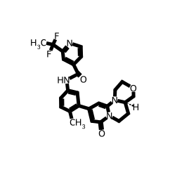 Cc1ccc(NC(=O)c2ccnc(C(C)(F)F)c2)cc1-c1cc2n(c(=O)c1)CC[C@@H]1COCCN21